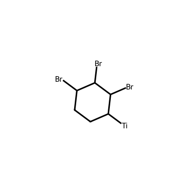 [Ti][CH]1CCC(Br)C(Br)C1Br